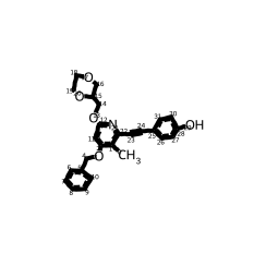 Cc1c(OCc2ccccc2)cc(OCC2COCCO2)nc1C#Cc1ccc(O)cc1